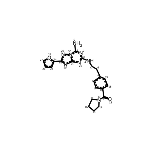 Nc1nc(NCCc2ccc(C(=O)N3CCCC3)cc2)nc2nc(-c3ccco3)nn12